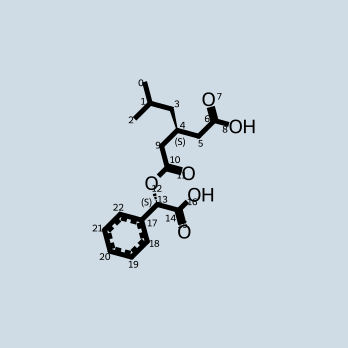 CC(C)C[C@@H](CC(=O)O)CC(=O)O[C@H](C(=O)O)c1ccccc1